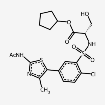 CC(=O)Nc1nc(C)c(-c2ccc(Cl)c(S(=O)(=O)N[C@@H](CO)C(=O)OC3CCCC3)c2)s1